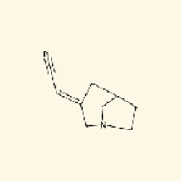 N#CC=C1CC2CCN(C1)C2